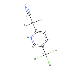 CC(C)(C#N)c1ccc(C(F)(F)F)cn1